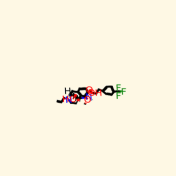 C=CCN1CC[C@]23CC(N(C)C(=O)CCc4ccc(C(F)(F)F)cc4)CC[C@@]2(O)[C@H]1Cc1ccc(O)c(OC)c13